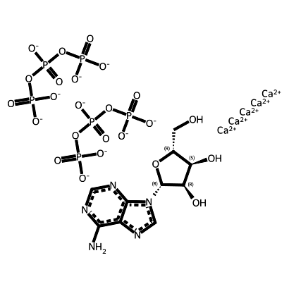 Nc1ncnc2c1ncn2[C@@H]1O[C@H](CO)[C@@H](O)[C@H]1O.O=P([O-])([O-])OP(=O)([O-])OP(=O)([O-])[O-].O=P([O-])([O-])OP(=O)([O-])OP(=O)([O-])[O-].[Ca+2].[Ca+2].[Ca+2].[Ca+2].[Ca+2]